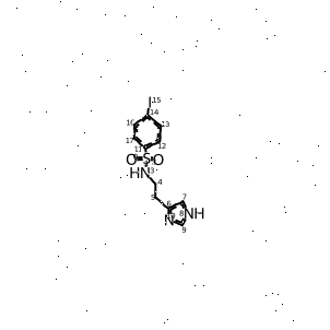 O=S(=O)(NCCc1c[nH]cn1)c1ccc(I)cc1